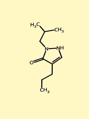 CCCc1c[nH]n(CC(C)C)c1=O